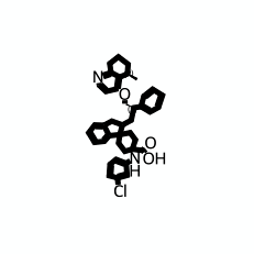 C[C@@H]1CCCc2nccc(OC[C@@H](CC3Cc4ccccc4C34CCC(Nc3cccc(Cl)c3)(C(=O)O)CC4)c3ccccc3)c21